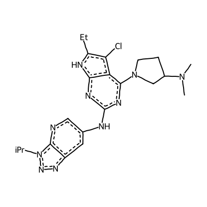 CCc1[nH]c2nc(Nc3cnc4c(c3)nnn4C(C)C)nc(N3CCC(N(C)C)C3)c2c1Cl